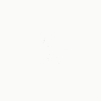 Cc1ccc(C(=O)C(C)CC(C)(C)C)cc1F